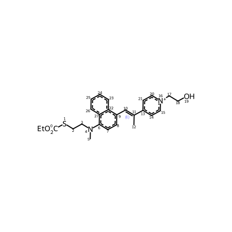 CCOC(=O)SCCN(C)c1ccc(/C=C(\C)c2cc[n+](CCO)cc2)c2ccccc12